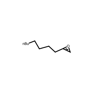 CCCCCCCCC1=CO1